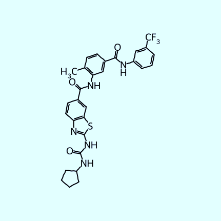 Cc1ccc(C(=O)Nc2cccc(C(F)(F)F)c2)cc1NC(=O)c1ccc2nc(NC(=O)NC3CCCC3)sc2c1